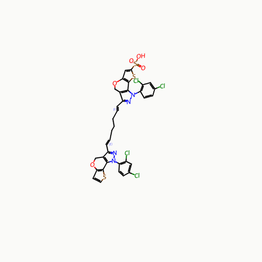 O=S(=O)(O)c1cc2c(s1)-c1c(c(/C=C/CCC/C=C/c3nn(-c4ccc(Cl)cc4Cl)c4c3COc3ccsc3-4)nn1-c1ccc(Cl)cc1Cl)CO2